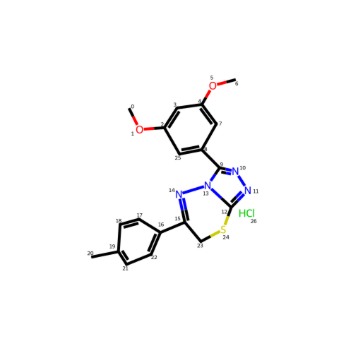 COc1cc(OC)cc(-c2nnc3n2N=C(c2ccc(C)cc2)CS3)c1.Cl